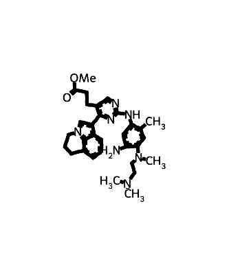 COC(=O)CCc1cnc(Nc2cc(N)c(N(C)CCN(C)C)cc2C)nc1-c1cn2c3c(cccc13)CCC2